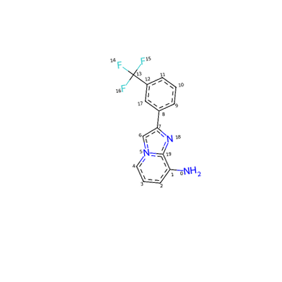 Nc1cccn2cc(-c3cccc(C(F)(F)F)c3)nc12